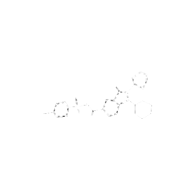 O=C(NS(=O)(=O)c1ccc(Cl)cc1)c1ccc2c(c1)c(=O)n(-c1ccccc1)n2C1CCCCC1